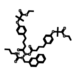 CCCNC(=O)N(Cc1ccc2ccccc2c1)N(OC(=O)CCCc1ccc(OC(C)(C)C(=O)OCC)cc1)C(=O)CCCc1ccc(OC(C)(C)C(=O)OCC)cc1